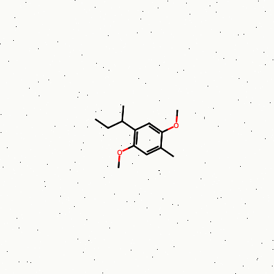 CCC(C)c1cc(OC)c(C)cc1OC